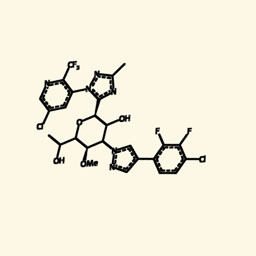 CO[C@H]1C(C(C)O)O[C@@H](c2nc(C)nn2-c2cc(Cl)cnc2C(F)(F)F)C(O)C1n1cc(-c2ccc(Cl)c(F)c2F)cn1